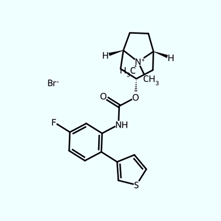 C[N+]1(C)[C@@H]2CC[C@H]1C[C@@H](OC(=O)Nc1cc(F)ccc1-c1ccsc1)C2.[Br-]